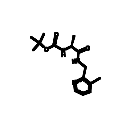 Cc1cccnc1CNC(=O)[C@H](C)NC(=O)OC(C)(C)C